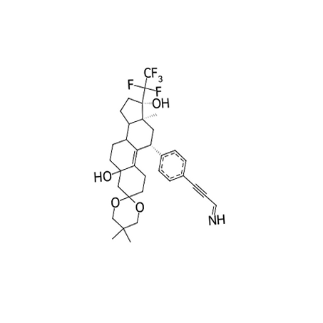 CC1(C)COC2(CCC3=C4C(CCC3(O)C2)C2CC[C@@](O)(C(F)(F)C(F)(F)F)[C@@]2(C)C[C@@H]4c2ccc(C#CC=N)cc2)OC1